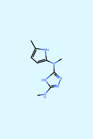 CNc1nnc(N(C)c2ccc(C)[nH]2)[nH]1